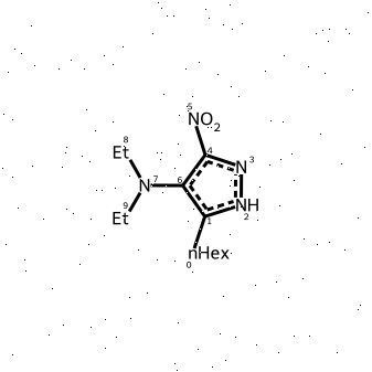 CCCCCCc1[nH]nc([N+](=O)[O-])c1N(CC)CC